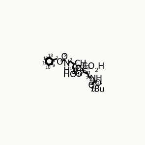 CC(CNC(=O)OCc1ccccc1)CP(=O)(O)OC(CCCNC(=O)OC(C)(C)C)C(=O)O